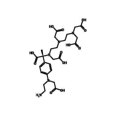 C[C@](C(=O)O)(c1ccc(N(CCN)CC(=O)O)cc1)N(CCN(CCN(CC(=O)O)CC(=O)O)CC(=O)O)CC(=O)O